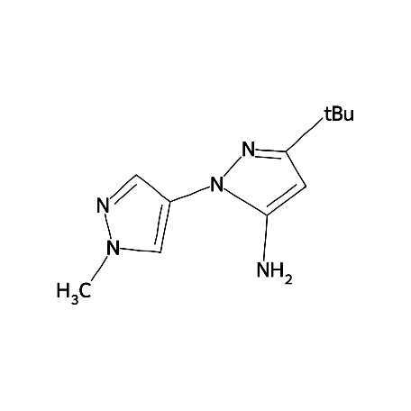 Cn1cc(-n2nc(C(C)(C)C)cc2N)cn1